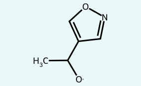 CC([O])c1cnoc1